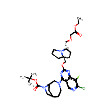 CCOC(=O)COC[C@@H]1CC[C@]2(COc3nc(N4CCC5CC(C4)N(C(=O)OC(C)(C)C)C5)c4cnc(Cl)c(F)c4n3)CCCN12